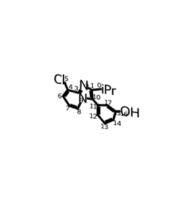 CC(C)c1nc2c(Cl)cccn2c1-c1cccc(O)c1